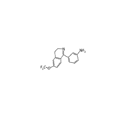 Nc1cccc(C2=NCCc3cc(OC(F)(F)F)ccc32)c1